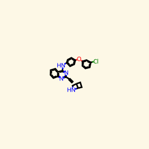 C#Cc1nc(Nc2ccc(Oc3cccc(Cl)c3)cc2)c2ccccc2n1.C1CC2NCC12